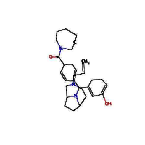 C=CCN1CCC2CCC(C1)N2C(C1=CCC(C(=O)N2CCCCCC2)C=C1)C1=CC(O)=CCC1